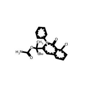 CC(C)(C)C(C)(OC(N)=O)c1cc2cccc(Cl)c2c(=O)n1-c1ccccc1